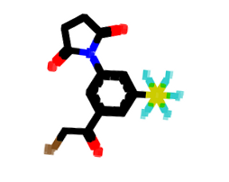 O=C(CBr)c1cc(N2C(=O)CCC2=O)cc(S(F)(F)(F)(F)F)c1